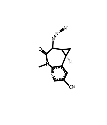 CN1C(=O)C(N=[N+]=[N-])C2C[C@H]2c2cc(C#N)cnc21